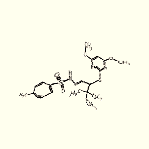 COc1cc(OC)nc(SC(/C=N/NS(=O)(=O)c2ccc(C)cc2)C(C)(C)C)n1